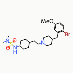 COc1ccc(Br)c(CC2CCN(CCC3CCC(NS(=O)(=O)N(C)C)CC3)CC2)c1